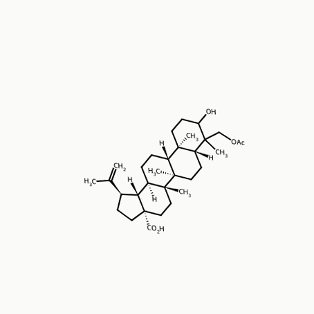 C=C(C)[C@@H]1CC[C@]2(C(=O)O)CC[C@]3(C)[C@H](CC[C@@H]4[C@@]5(C)CCC(O)C(C)(COC(C)=O)[C@@H]5CC[C@]43C)[C@@H]12